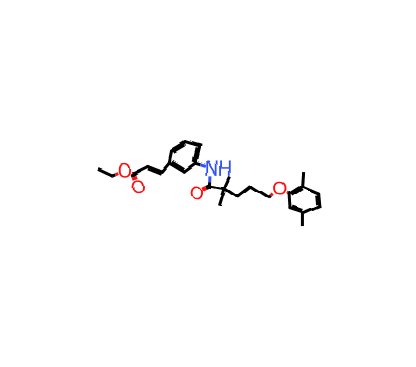 CCOC(=O)C=Cc1cccc(NC(=O)C(C)(C)CCCOc2cc(C)ccc2C)c1